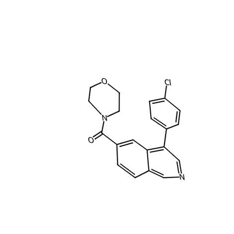 O=C(c1ccc2cncc(-c3ccc(Cl)cc3)c2c1)N1CCOCC1